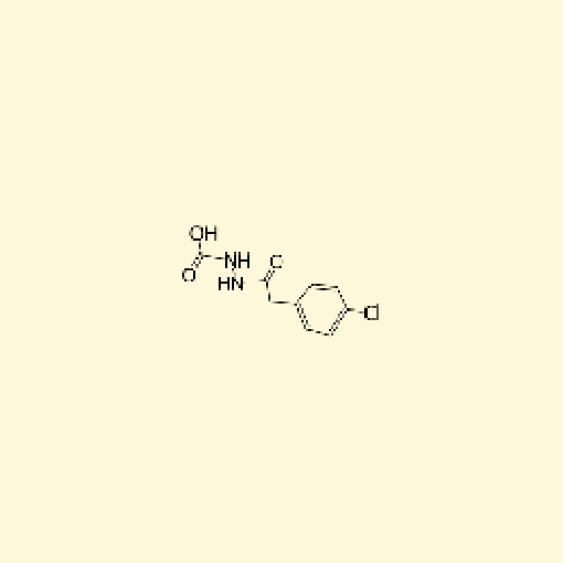 O=C(O)NNC(=O)Cc1ccc(Cl)cc1